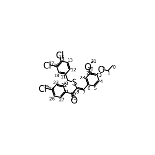 CCOc1ccc(C=C(SCc2ccc(Cl)c(Cl)c2)C(=O)c2ccc(Cl)cc2)cc1OC